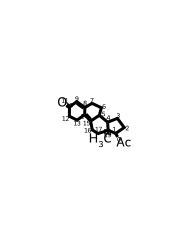 CC(=O)C1CCC2C3CCC4=CC(=O)CCC4=C3CC[C@]12C